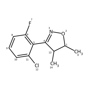 CC1ON=C(c2c(F)cccc2Cl)C1C